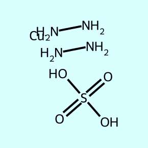 NN.NN.O=S(=O)(O)O.[Cu]